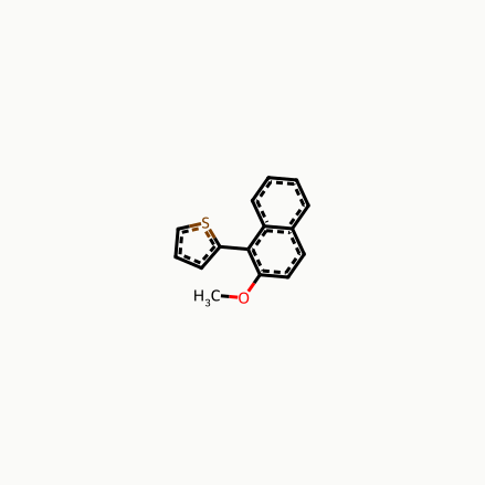 COc1ccc2ccccc2c1-c1cccs1